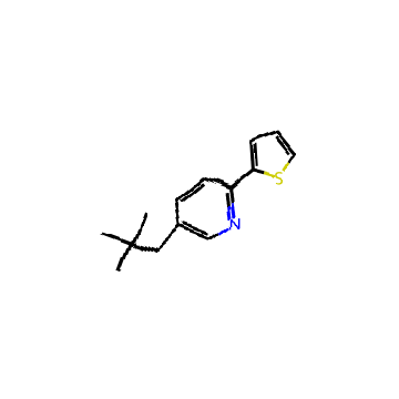 CC(C)(C)Cc1ccc(-c2cccs2)nc1